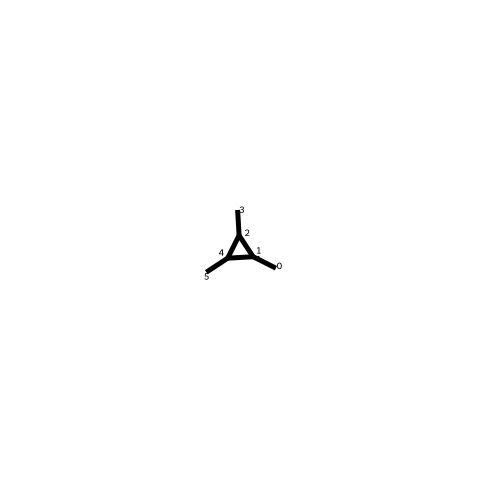 C[C]1C(C)C1C